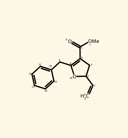 C=CC1CC(C(=O)OC)=C(Cc2ccccc2)O1